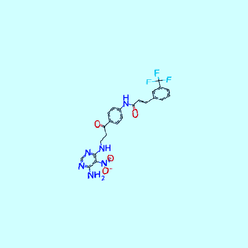 Nc1ncnc(NCCC(=O)c2ccc(NC(=O)C=Cc3cccc(C(F)(F)F)c3)cc2)c1[N+](=O)[O-]